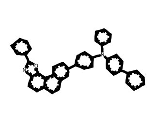 c1ccc(-c2ccc(N(c3ccccc3)c3ccc(-c4ccc5c(ccc6ccc7nc(-c8ccccc8)oc7c65)c4)cc3)cc2)cc1